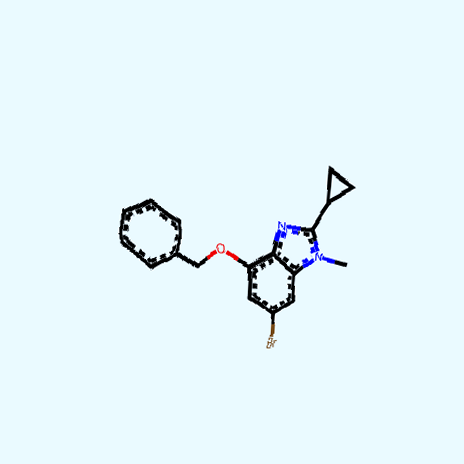 Cn1c(C2CC2)nc2c(OCc3ccccc3)cc(Br)cc21